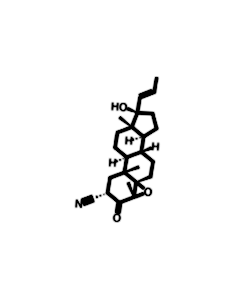 CC=C[C@]1(O)CC[C@H]2[C@@H]3CC[C@@]45O[C@]4(C)C(=O)[C@H](C#N)C[C@]5(C)[C@H]3CC[C@@]21C